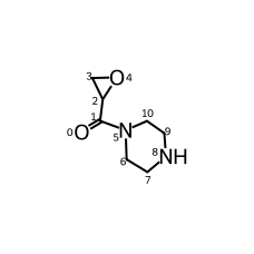 O=C(C1CO1)N1CCNCC1